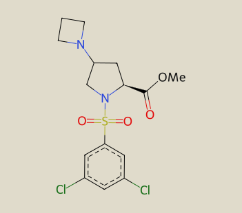 COC(=O)[C@@H]1CC(N2CCC2)CN1S(=O)(=O)c1cc(Cl)cc(Cl)c1